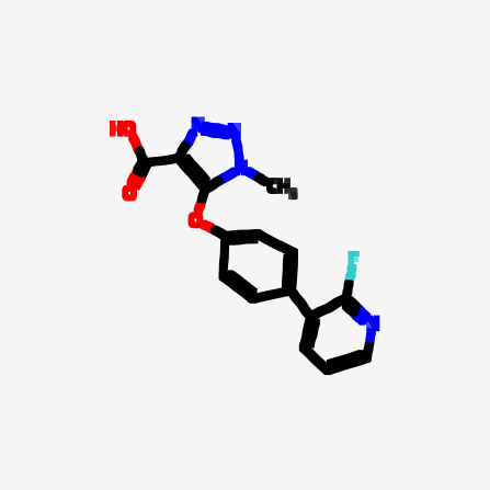 Cn1nnc(C(=O)O)c1Oc1ccc(-c2cccnc2F)cc1